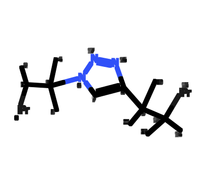 CC(C)C(C)C(C)(C)n1cc(C(C)(C)C(C)(C)C(C)C)nn1